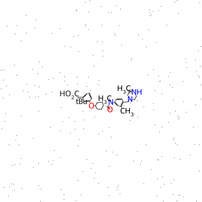 Cc1cc(N(C)C(=O)[C@H]2CC[C@H](Oc3cccc(C(C(=O)O)C(C)(C)C)c3)CC2)ccc1CN1CCN[C@@H](C)C1